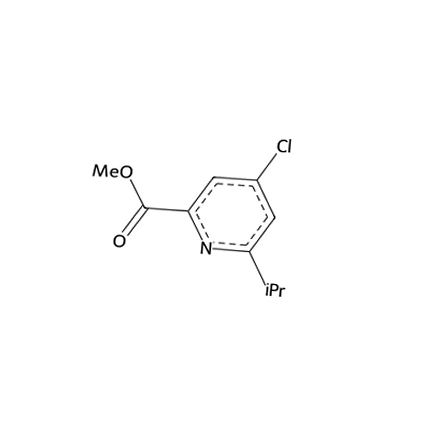 COC(=O)c1cc(Cl)cc(C(C)C)n1